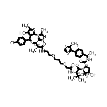 Cc1ncsc1-c1ccc([C@H](C)NC(=O)[C@@H]2C[C@@H](O)CN2C(=O)[C@@H](NC(=O)COCCCOCCNC(=O)[C@H](C)[C@@H]2N=C(c3ccc(Cl)cc3)c3c(sc(C)c3C)-n3c(C)nnc32)C(C)(C)C)cc1